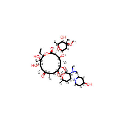 CC[C@H]1OC(=O)[C@H](C)[C@@H](O[C@H]2C[C@@](C)(OC)[C@@H](O)[C@H](C)O2)[C@H](C)[C@@H](O[C@@H]2O[C@H](C)C[C@@H](N3CCC(O)CC3)[C@@H]2N(C)C)[C@@](C)(OC)C[C@@H](C)C(=O)[C@H](C)[C@@H](O)[C@]1(C)O